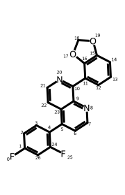 Fc1ccc(-c2ccnc3c(-c4cccc5c4OCO5)nccc23)c(F)c1